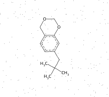 CC(C)(C)Cc1ccc2c(c1)OCOC2